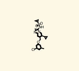 Cc1cc(Cl)cc(OCc2cc3nnc(NS(=O)(=O)C4CC4)n3cc2C2CC2)c1